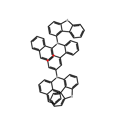 c1cc(-c2ccccc2N(c2cccc3ccccc23)c2cccc3sc4ccccc4c23)cc(N(c2cccc3ccccc23)c2cccc3sc4ccccc4c23)c1